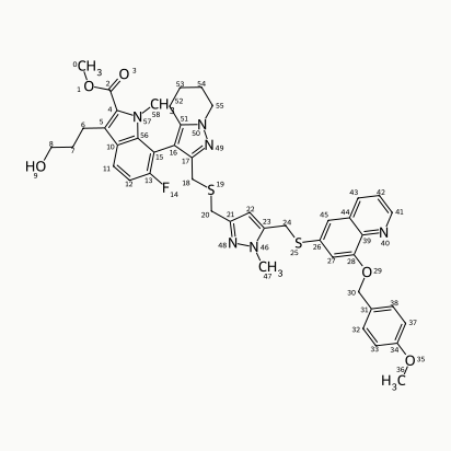 COC(=O)c1c(CCCO)c2ccc(F)c(-c3c(CSCc4cc(CSc5cc(OCc6ccc(OC)cc6)c6ncccc6c5)n(C)n4)nn4c3CCCC4)c2n1C